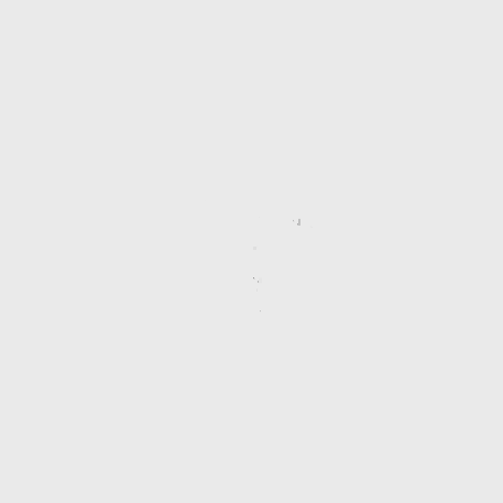 CC1CCCCC1(C)N.Cl.N